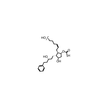 O=C(O)CCC/C=C\C[C@@H]1[C@@H](CC[C@@H](O)CCc2ccccc2)[C@H](O)C[C@@H]1OC(=O)S